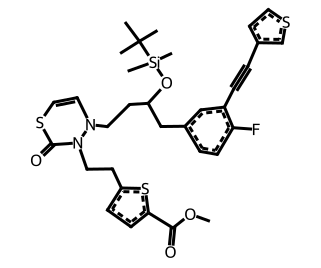 COC(=O)c1ccc(CCN2C(=O)SC=CN2CCC(Cc2ccc(F)c(C#Cc3ccsc3)c2)O[Si](C)(C)C(C)(C)C)s1